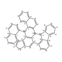 c1ccc2c(N3c4c(ccc5ccccc45)B4c5c(cc6sccc6c53)-c3cccc5c6ccccc6n4c35)cccc2c1